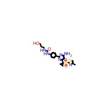 Cc1csc(S(=O)(=O)C2(c3cc(N)nc(-c4ccc(NC(=O)NCCCO)cc4)n3)CC2)n1